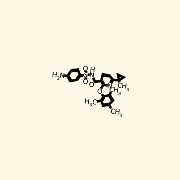 Cc1cc(C)c(Oc2nc(C3(C)CC3)ccc2C(=O)NS(=O)(=O)c2ccc(N)cc2)c(C)c1